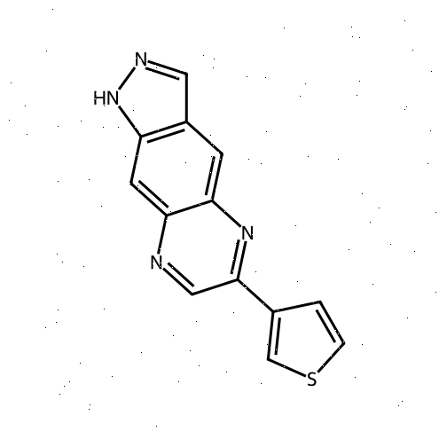 c1cc(-c2cnc3cc4[nH]ncc4cc3n2)cs1